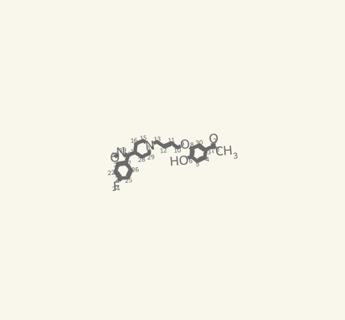 CC(=O)c1ccc(O)c(OC/C=C/CN2CCC(c3noc4cc(F)ccc34)CC2)c1